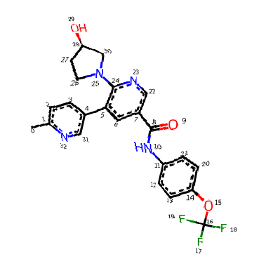 Cc1ccc(-c2cc(C(=O)Nc3ccc(OC(F)(F)F)cc3)cnc2N2CC[C@@H](O)C2)cn1